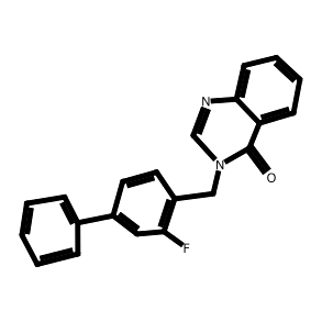 O=c1c2ccccc2ncn1Cc1ccc(-c2ccccc2)cc1F